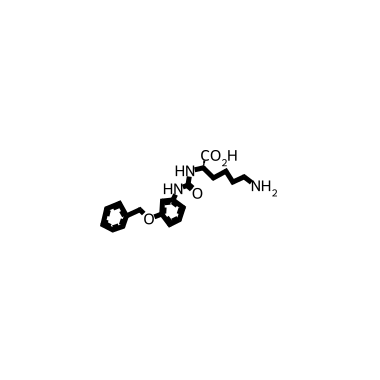 NCCCC[C@H](NC(=O)Nc1cccc(OCc2ccccc2)c1)C(=O)O